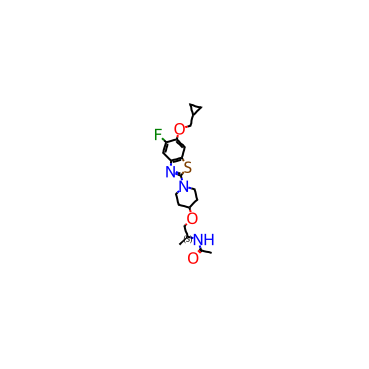 CC(=O)N[C@@H](C)COC1CCN(c2nc3cc(F)c(OCC4CC4)cc3s2)CC1